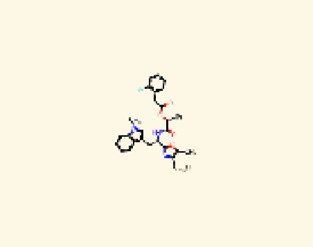 Cc1oc([C@@H](Cc2cn(C)c3ccccc23)NC(=O)[C@@H](OC(=O)Cc2ccccc2F)C(C)C)nc1C(=O)O